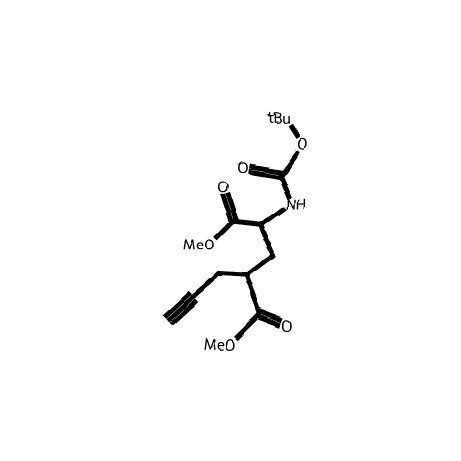 C#CCC(CC(NC(=O)OC(C)(C)C)C(=O)OC)C(=O)OC